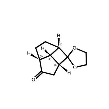 O=C1C[C@@H]2[C@@H]3[C@H]1CC[C@@H]3C21OCCO1